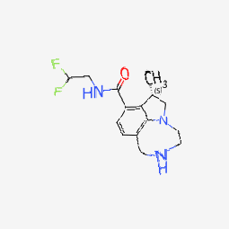 C[C@@H]1CN2CCNCc3ccc(C(=O)NCC(F)F)c1c32